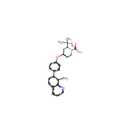 Cc1c(-c2ccc(OC3CCN(C(=O)O)C(C(C)(C)C)C3)cc2)ccc2cccnc12